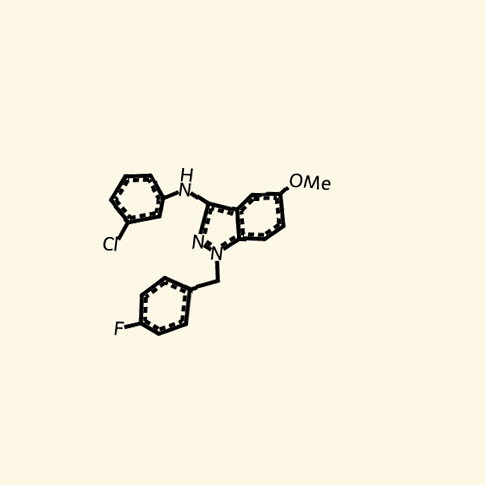 COc1ccc2c(c1)c(Nc1cccc(Cl)c1)nn2Cc1ccc(F)cc1